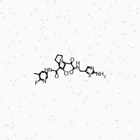 Cc1cc(NC(=O)c2c(Cl)c(C(=O)C(=O)NCc3cnc(N)s3)n3c2CCC3)cnc1F